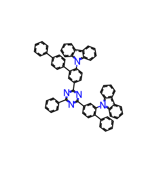 c1ccc(-c2ccc(-c3cc(-c4nc(-c5ccccc5)nc(-c5ccc(-c6ccccc6)c(-n6c7ccccc7c7ccccc76)c5)n4)ccc3-n3c4ccccc4c4ccccc43)cc2)cc1